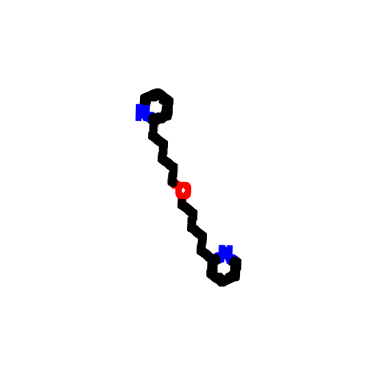 c1ccc(CCCCCOCCCCCc2ccccn2)nc1